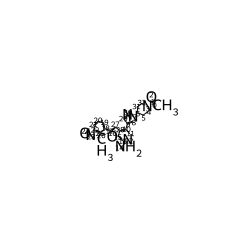 CC(=O)N1CCC(n2cc(-c3cnc(N)c4oc(-c5cccc(N=O)c5C)cc34)cn2)CC1